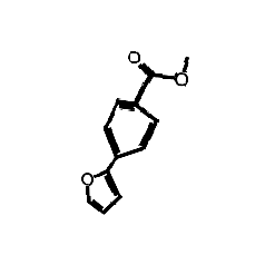 COC(=O)c1ccc(-c2ccco2)cc1